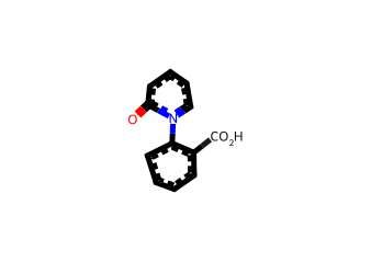 O=C(O)c1ccccc1-n1ccccc1=O